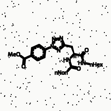 CCCCCCCCCC(=O)N[C@@H](Cc1nnn(-c2ccc(C(=O)OC)cc2)n1)C(=O)NCCCCCC